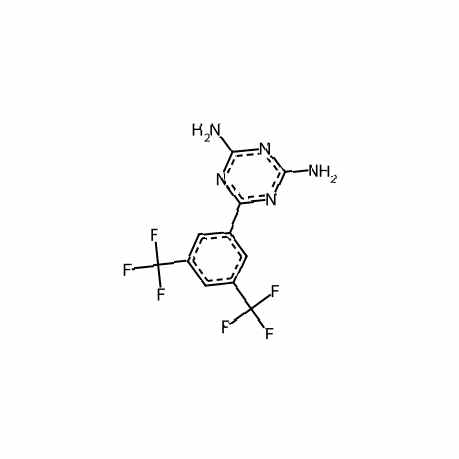 Nc1nc(N)nc(-c2cc(C(F)(F)F)cc(C(F)(F)F)c2)n1